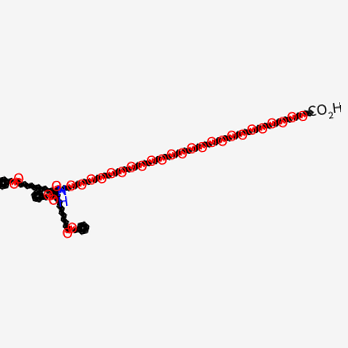 O=C(O)CCOCCOCCOCCOCCOCCOCCOCCOCCOCCOCCOCCOCCOCCOCCOCCOCCOCCOCCOCCOCCOCCOCCOCCOCCNC(=O)C(CCCCCCCCCCC(=O)OCc1ccccc1)(CCCCCCCCCCC(=O)OCc1ccccc1)C(=O)OCc1ccccc1